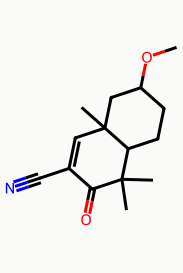 COC1CCC2C(C)(C=C(C#N)C(=O)C2(C)C)C1